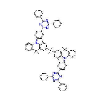 CC(C)(c1cc2c3c(c1)c1cc(-c4nc(-c5ccccc5)nc(-c5ccccc5)n4)ccc1n3-c1c#cccc1C2(C)C)c1cc2c3c(c1)c1cc(-c4nc(-c5ccccc5)nc(-c5ccccc5)n4)ccc1n3-c1ccccc1C2(C)C